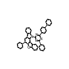 c1ccc(-c2ccc(-c3nc(-c4ccccc4)nc(-n4c5ccccc5c5cc(-c6ccccc6)c6oc7ccccc7c6c54)n3)cc2)cc1